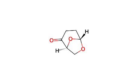 O=C1CC[C@@H]2OC[C@@H]1O2